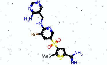 CSc1sc(C(=N)N)cc1S(=O)(=O)c1cnc(NCc2cncnc2N)c(Br)c1